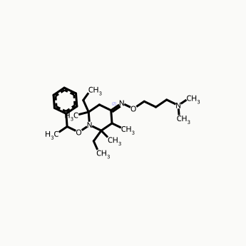 CCC1(C)C/C(=N/OCCCN(C)C)C(C)C(C)(CC)N1OC(C)c1ccccc1